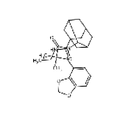 CCNC(=O)C12CC3CC(C1)C(N1C(=O)C(C)(C)C1c1cccc4c1OCO4)C(C3)C2